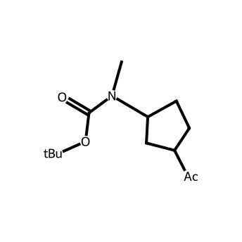 CC(=O)C1CCC(N(C)C(=O)OC(C)(C)C)C1